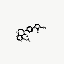 CC(C)n1ccn(-c2ccc(N3CCOc4ncnc(N)c4C3=O)cc2)c1=O